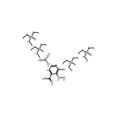 CC[N+](C)(CC)CC.CC[N+](C)(CC)CC.CC[N+](C)(CC)CC.CC[N+](C)(CC)CC.O=C([O-])c1cccc(I)c1OCl.[O-]B([O-])[O-]